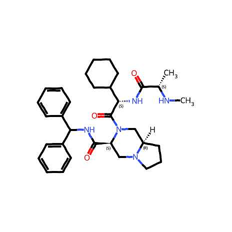 CN[C@@H](C)C(=O)N[C@H](C(=O)N1C[C@H]2CCCN2C[C@H]1C(=O)NC(c1ccccc1)c1ccccc1)C1CCCCC1